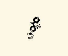 CC(C)(C)OC(=O)N1CCC(O[Si](C)(C)C)(C(=O)c2ccncc2)CC1